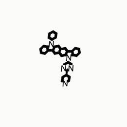 c1ccc(-n2c3ccccc3c3cc4cc5c(cc4cc32)c2ccccc2n5-c2cnc(-c3ccncc3)nc2)cc1